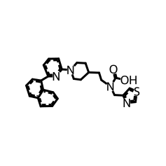 O=C(O)N(CCC1CCN(c2cccc(-c3cccc4ccccc34)n2)CC1)Cc1cscn1